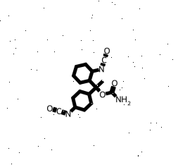 CC(OC(N)=O)(C1CCC(N=C=O)CC1)C1CCCCC1N=C=O